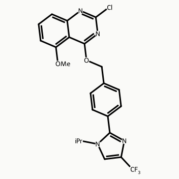 COc1cccc2nc(Cl)nc(OCc3ccc(-c4nc(C(F)(F)F)cn4C(C)C)cc3)c12